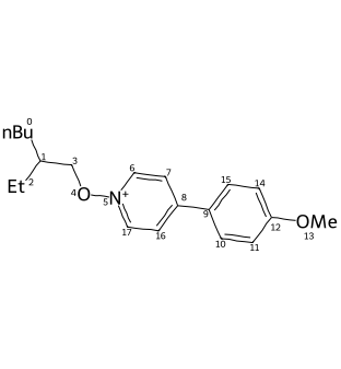 CCCCC(CC)CO[n+]1ccc(-c2ccc(OC)cc2)cc1